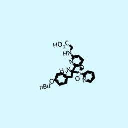 CCCCOc1ccc(CC(N)(c2cccc(NCC(=O)O)n2)S(=O)(=O)c2ccccn2)cc1